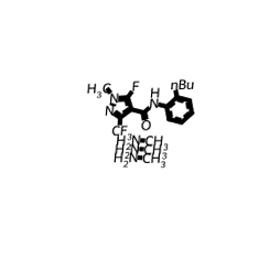 CCCCc1ccccc1NC(=O)c1c(C(F)(F)F)nn(C)c1F.CN.CN.CN